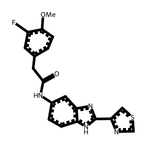 COc1ccc(CC(=O)Nc2ccc3[nH]c(-c4cscn4)nc3c2)cc1F